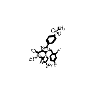 CCN1C(=O)c2nc(-c3ccc(S(N)(=O)=O)cc3)n(Cc3ccc(F)cc3F)c2N2C[C@@H](C(C)C)N=C12